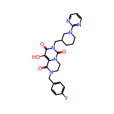 O=C1c2c(O)c(=O)n(CC3CCCN(c4ncccn4)C3)c(=O)n2CCN1Cc1ccc(F)cc1